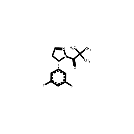 CC(C)(C)C(=O)N1N=CC[C@H]1c1cc(F)cc(F)c1